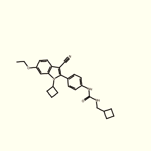 CCOc1ccc2c(C#N)c(-c3ccc(NC(=O)NCC4CCC4)cc3)n(C3CCC3)c2c1